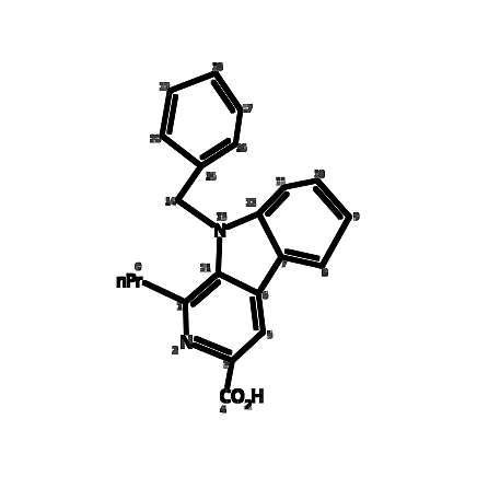 CCCc1nc(C(=O)O)cc2c3ccccc3n(Cc3ccccc3)c12